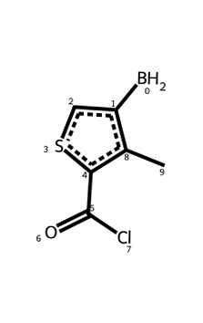 Bc1csc(C(=O)Cl)c1C